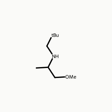 COCC(C)NCC(C)(C)C